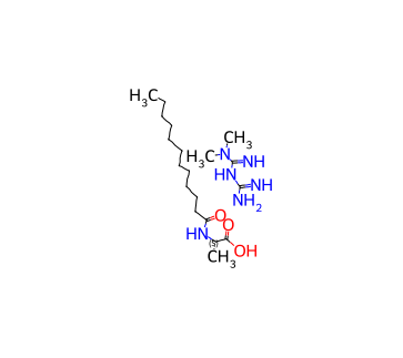 CCCCCCCCCCCC(=O)N[C@@H](C)C(=O)O.CN(C)C(=N)NC(=N)N